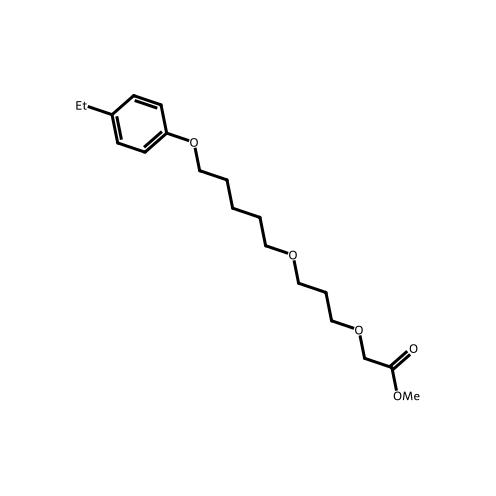 CCc1ccc(OCCCCCOCCCOCC(=O)OC)cc1